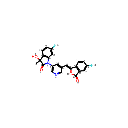 CC1(O)C(=O)N(c2cncc(C=C3OC(=O)c4cc(F)ccc43)c2)c2cc(F)ccc21